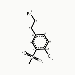 CS(=O)(=O)c1cc(CCBr)ccc1Cl